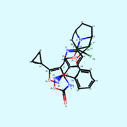 O=c1[nH]c(-c2ccc(N3C4CCC3CC(OCc3c(-c5ccccc5OC(F)(F)F)noc3C3CC3)C4)nc2)no1